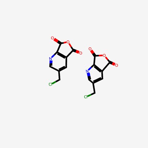 O=C1OC(=O)c2ncc(CCl)cc21.O=C1OC(=O)c2ncc(CCl)cc21